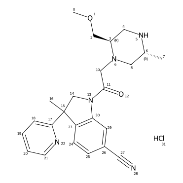 COC[C@H]1CN[C@H](C)CN1CC(=O)N1CC(C)(c2ccccn2)c2ccc(C#N)cc21.Cl